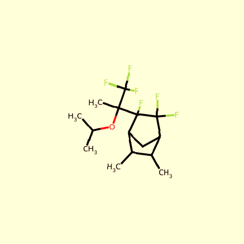 CC(C)OC(C)(C(F)(F)F)C1(F)C2CC(C(C)C2C)C1(F)F